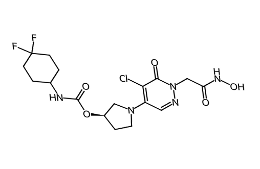 O=C(Cn1ncc(N2CC[C@@H](OC(=O)NC3CCC(F)(F)CC3)C2)c(Cl)c1=O)NO